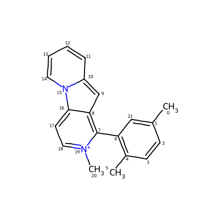 Cc1ccc(C)c(-c2c3cc4ccccn4c3cc[n+]2C)c1